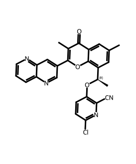 Cc1cc([C@@H](C)Oc2ccc(Cl)nc2C#N)c2oc(-c3cnc4cccnc4c3)c(C)c(=O)c2c1